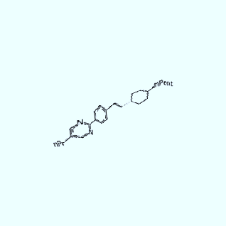 CCCCC[C@H]1CC[C@H](CCc2ccc(-c3ncc(CCC)cn3)cc2)CC1